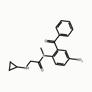 CN(C(=O)CNC1CC1)c1ccc([N+](=O)[O-])cc1C(=O)c1ccccc1